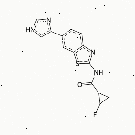 O=C(Nc1nc2ccc(-c3c[nH]cn3)cc2s1)C1CC1F